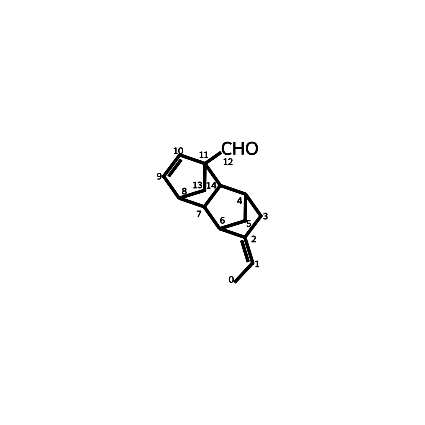 CC=C1CC2CC1C1C3C=CC(C=O)(C3)C21